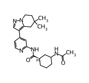 CC(=O)NC1CCC[C@@H](C(=O)Nc2cc(-c3cnn4c3CC(C)(C)CC4)ccn2)C1